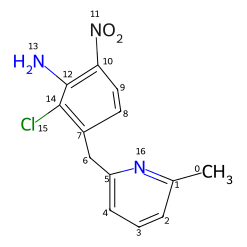 Cc1cccc(Cc2ccc([N+](=O)[O-])c(N)c2Cl)n1